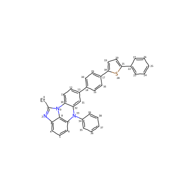 CCc1nc2cccc3c2n1-c1ccc(-c2ccc(-c4ccc(-c5ccccc5)s4)cc2)cc1N3c1ccccc1